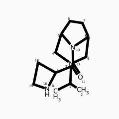 CC(C)N1CC2CCC(C1)N2C(=O)C1CCN1